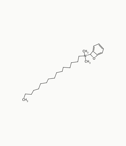 CCCCCCCCCCCCCCCC[N+](C)(C)C1Oc2ccccc21